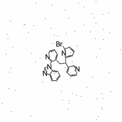 Brc1cccc(C(Cc2cccnc2-n2cnc3ccccc32)c2cccnc2)n1